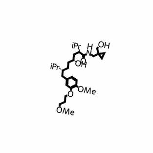 COCCCOc1cc(C[C@@H](CC[C@@H](O)C[C@H](C(=O)NCC2(CO)CC2)C(C)C)C(C)C)ccc1OC